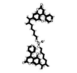 CC(CCCCCO[N+](=O)OCCCCCC(C)C(C)c1cc(O)c2c(-c3ccncc3)cc(=O)oc2c1)C(C)c1cc(O)c2c(-c3ccncc3)cc(=O)oc2c1